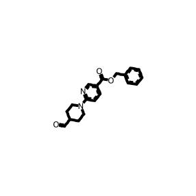 O=CC1CCN(c2ccc(C(=O)OCc3ccccc3)cn2)CC1